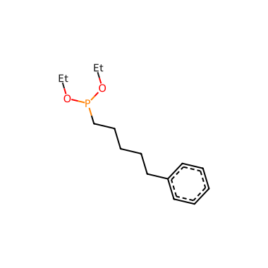 CCOP(CCCCCc1ccccc1)OCC